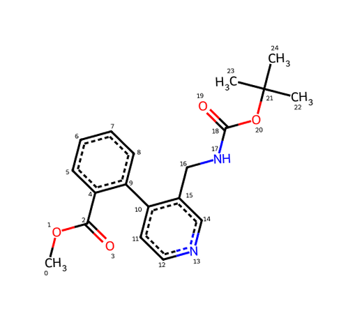 COC(=O)c1ccccc1-c1ccncc1CNC(=O)OC(C)(C)C